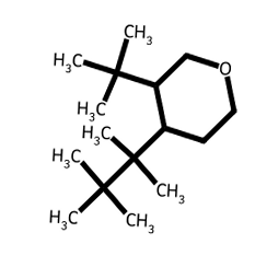 CC(C)(C)C1COCCC1C(C)(C)C(C)(C)C